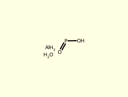 O.O=PO.[AlH3]